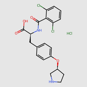 Cl.O=C(N[C@@H](Cc1ccc(O[C@H]2CCNC2)cc1)C(=O)O)c1c(Cl)cccc1Cl